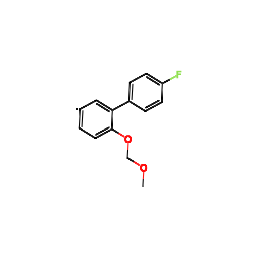 COCOc1cc[c]cc1-c1ccc(F)cc1